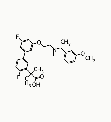 COc1cccc([C@@H](C)NCCOc2cc(F)cc(-c3ccc(F)c(C(C)(C)C(=O)O)c3)c2)c1